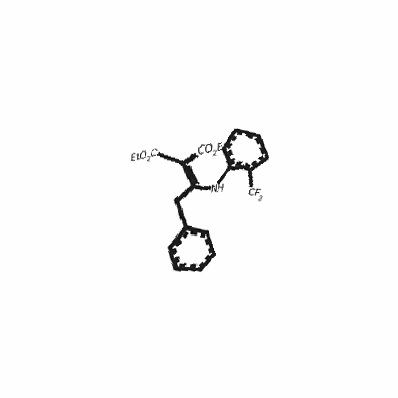 CCOC(=O)C(C(=O)OCC)=C(Cc1ccccc1)Nc1ccccc1C(F)(F)F